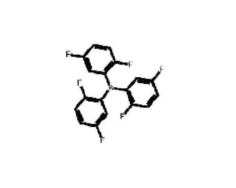 Fc1ccc(F)c(B(c2cc(F)ccc2F)c2cc(F)ccc2F)c1